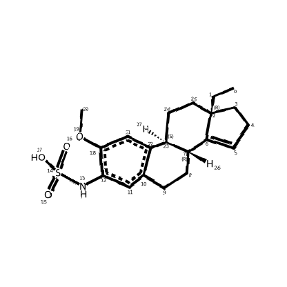 CC[C@@]12CCC=C1[C@@H]1CCc3cc(NS(=O)(=O)O)c(OC)cc3[C@H]1CC2